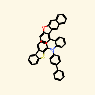 c1ccc(-c2ccc(N(c3ccccc3-c3cccc4oc5cc6ccccc6cc5c34)c3cccc4c3sc3ccccc34)cc2)cc1